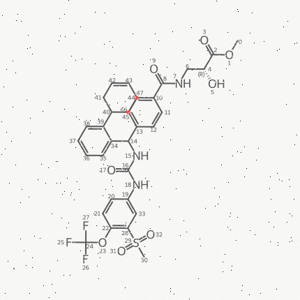 COC(=O)[C@H](O)CNC(=O)c1ccc(C(NC(=O)Nc2ccc(OC(F)(F)F)c(S(C)(=O)=O)c2)c2ccccc2C2CC=CCC2)cc1